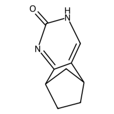 O=c1nc2c(c[nH]1)C1CCC2C1